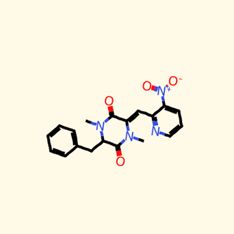 CN1C(=O)C(Cc2ccccc2)N(C)C(=O)C1=Cc1ncccc1[N+](=O)[O-]